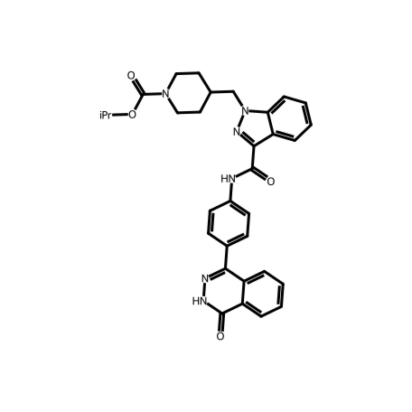 CC(C)OC(=O)N1CCC(Cn2nc(C(=O)Nc3ccc(-c4n[nH]c(=O)c5ccccc45)cc3)c3ccccc32)CC1